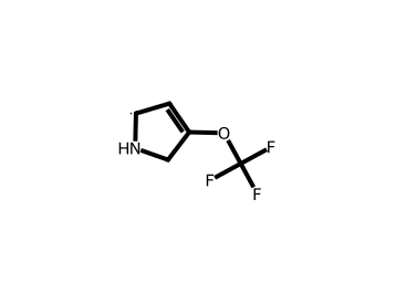 FC(F)(F)OC1=C[CH]NC1